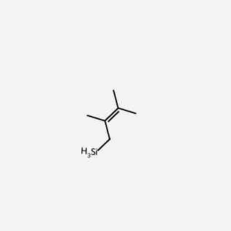 CC(C)=C(C)C[SiH3]